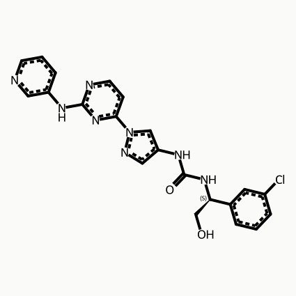 O=C(Nc1cnn(-c2ccnc(Nc3cccnc3)n2)c1)N[C@H](CO)c1cccc(Cl)c1